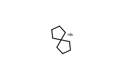 Br.C1CCC2(C1)CCCC2